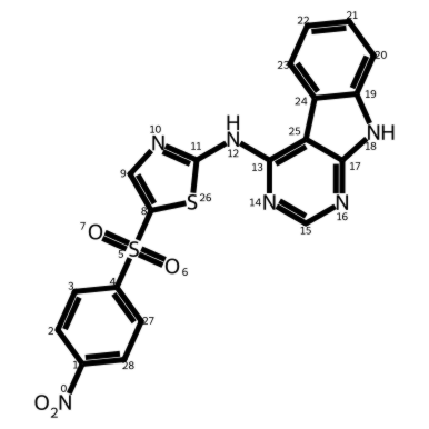 O=[N+]([O-])c1ccc(S(=O)(=O)c2cnc(Nc3ncnc4[nH]c5ccccc5c34)s2)cc1